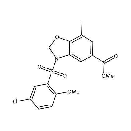 COC(=O)c1cc(C)c2c(c1)N(S(=O)(=O)c1cc(Cl)ccc1OC)CO2